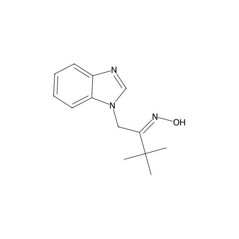 CC(C)(C)C(Cn1cnc2ccccc21)=NO